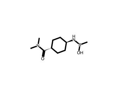 CB(O)N[C@H]1CC[C@H](C(=O)N(C)C)CC1